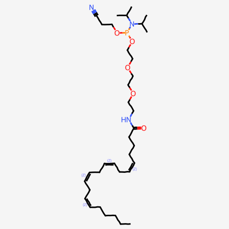 CCCCC/C=C\C/C=C\C/C=C\C/C=C\CCCC(=O)NCCOCCOCCOP(OCCC#N)N(C(C)C)C(C)C